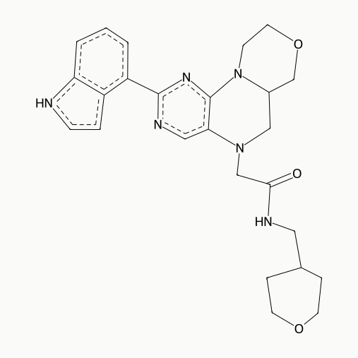 O=C(CN1CC2COCCN2c2nc(-c3cccc4[nH]ccc34)ncc21)NCC1CCOCC1